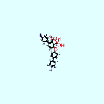 O=C(O)c1c(Oc2ccc(-c3ccc(I)cc3)cc2)ccc(-c2ccc(I)cc2)c1C(=O)O